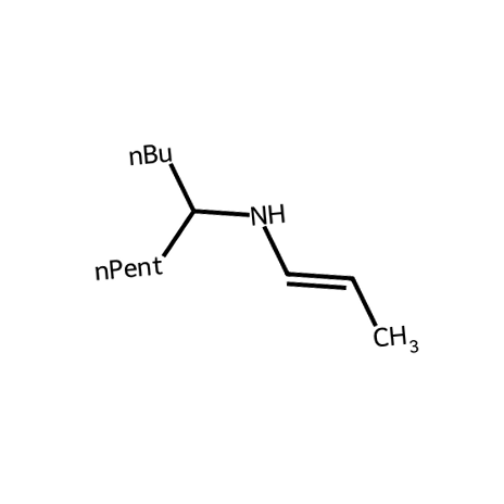 CC=CNC(CCCC)CCCCC